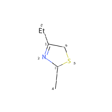 CCC1=NC(C)SC1